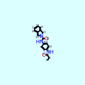 CCC(=O)Nc1ccc(NC(=O)N2Cc3ccccc3C2)cc1